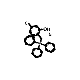 Oc1cc(Cl)ccc1C[P+](c1ccccc1)(c1ccccc1)c1ccccc1.[Br-]